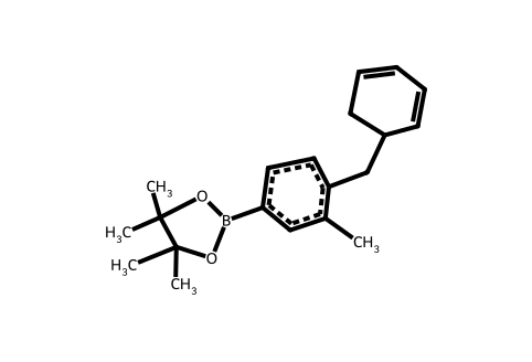 Cc1cc(B2OC(C)(C)C(C)(C)O2)ccc1CC1C=CC=CC1